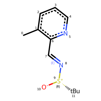 Cc1cccnc1/C=N/[S@@+]([O-])C(C)(C)C